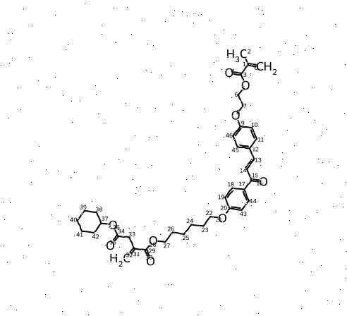 C=C(C)C(=O)OCCOc1ccc(/C=C/C(=O)c2ccc(OCCCCCCOC(=O)C(=C)CC(=O)OC3CCCCC3)cc2)cc1